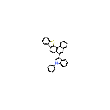 c1ccc(-n2cc(-c3cc4ccccc4c4c3ccc3c5ccccc5sc34)c3ccccc32)cc1